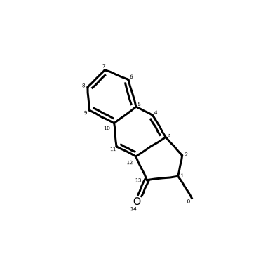 CC1Cc2cc3ccccc3cc2C1=O